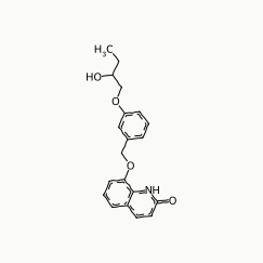 CCC(O)COc1cccc(COc2cccc3ccc(=O)[nH]c23)c1